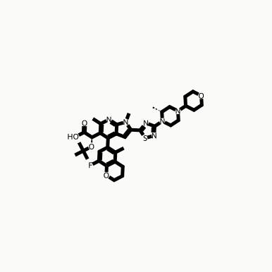 Cc1nc2c(cc(-c3nc(N4CCN(C5CCOCC5)C[C@H]4C)ns3)n2C)c(-c2cc(F)c3c(c2C)CCCO3)c1[C@H](OC(C)(C)C)C(=O)O